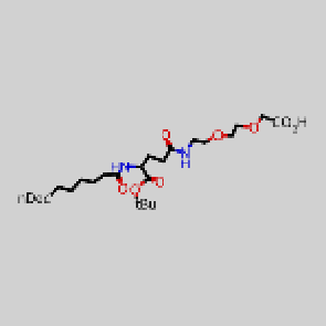 CCCCCCCCCCCCCCCC(=O)NC(CCC(=O)NCCOCCOCC(=O)O)C(=O)OC(C)(C)C